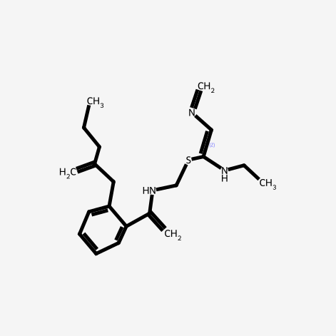 C=N/C=C(/NCC)SCNC(=C)c1ccccc1CC(=C)CCC